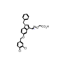 O=C(O)CO/N=C/c1cn(Cc2ccccc2)c2ccc(OCc3ccc(Cl)c(Cl)c3)cc12